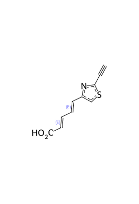 C#Cc1nc(/C=C/C=C/C(=O)O)cs1